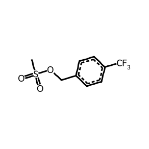 CS(=O)(=O)OCc1ccc(C(F)(F)F)cc1